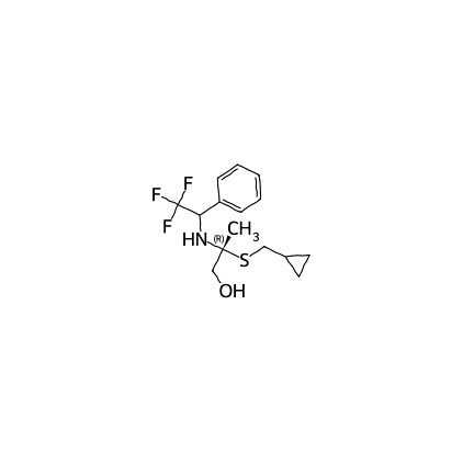 C[C@@](CO)(NC(c1ccccc1)C(F)(F)F)SCC1CC1